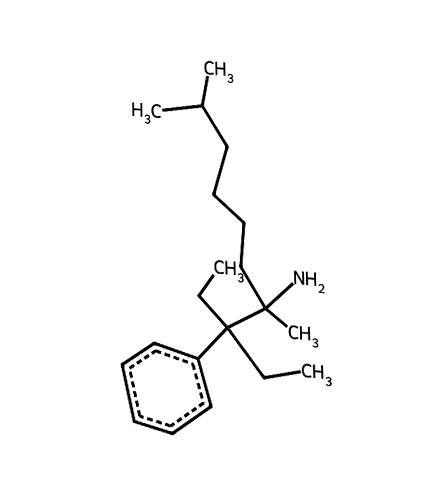 CCC(CC)(c1ccccc1)C(C)(N)CCCCC(C)C